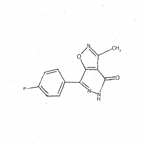 Cc1noc2c(-c3ccc(F)cc3)n[nH]c(=O)c12